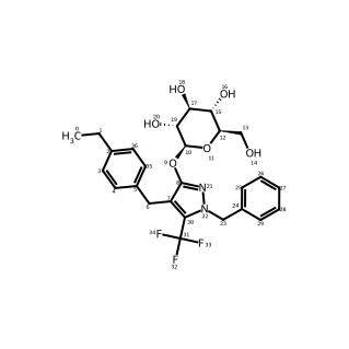 CCc1ccc(Cc2c(O[C@@H]3O[C@H](CO)[C@@H](O)[C@H](O)[C@H]3O)nn(Cc3ccccc3)c2C(F)(F)F)cc1